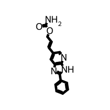 NC(=O)OCC=Cc1cnc2[nH]c(-c3ccccc3)nc2c1